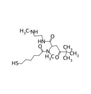 CNCCNC(=O)C(CC(=O)C(C)(C)C)N(C)C(=O)CCCCCS